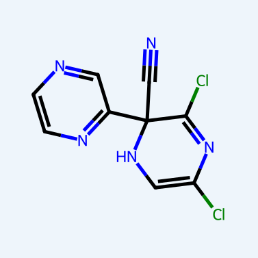 N#CC1(c2cnccn2)NC=C(Cl)N=C1Cl